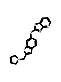 C1=CCN(Cc2cc3ccc(Oc4nc5ncccc5s4)cc3o2)C1